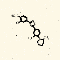 CC1CCCCN1c1ccc(-c2nc(-c3ccc(C(=O)O)c(Cl)c3)no2)cc1C(F)(F)F